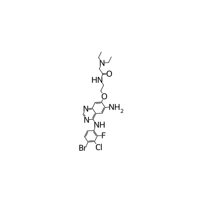 CCN(CC)CC(=O)NCCOc1cc2ncnc(Nc3ccc(Br)c(Cl)c3F)c2cc1N